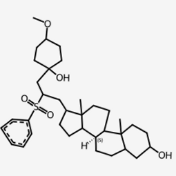 COC1CCC(O)(CC(CC2CCC3[C@@H]4CCC5CC(O)CCC5(C)C4CCC23C)S(=O)(=O)c2ccccc2)CC1